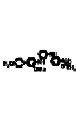 COc1cc(N2CCN(C)CC2)ccc1Nc1cc(Nc2cccc(NS(C)(=O)=O)c2)ccn1